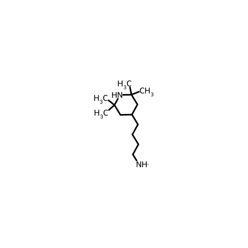 CC1(C)CC(CCCC[NH])CC(C)(C)N1